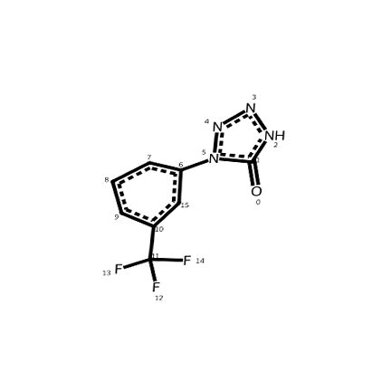 O=c1[nH]nnn1-c1cccc(C(F)(F)F)c1